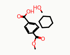 C1CCCCC1.CO.COC(=O)c1ccc(C(=O)O)cc1